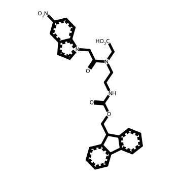 O=C(O)CN(CCNC(=O)OCC1c2ccccc2-c2ccccc21)C(=O)Cn1ccc2cc([N+](=O)[O-])ccc21